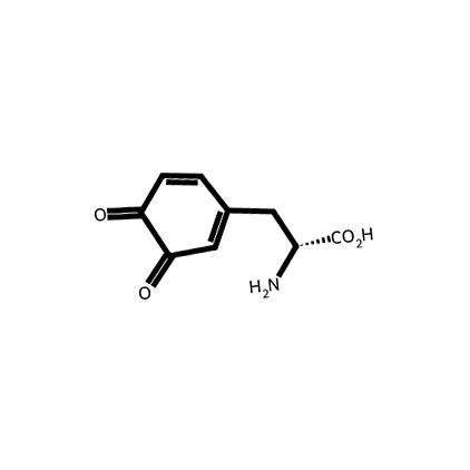 N[C@H](CC1=CC(=O)C(=O)C=C1)C(=O)O